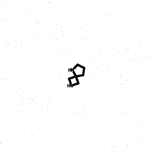 C1CNC2(C1)CNC2